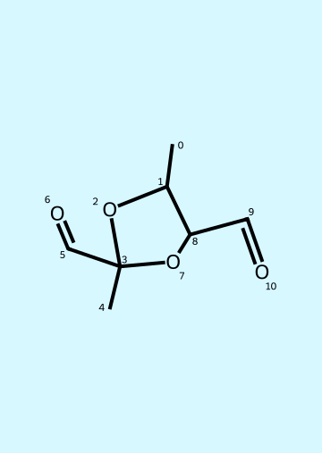 CC1OC(C)(C=O)OC1C=O